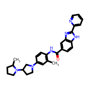 Cc1cc(N2CCC(N3CCCC3C)C2)ccc1NC(=O)c1ccc2[nH]c(-c3ccccn3)nc2c1